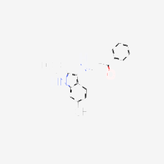 CCOC(=O)c1[nH]c2cc(C(F)(F)F)ccc2c1NCCC(=O)c1ccccc1